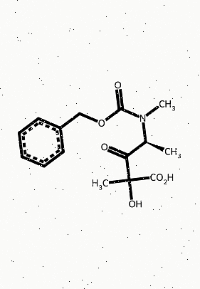 C[C@@H](C(=O)C(C)(O)C(=O)O)N(C)C(=O)OCc1ccccc1